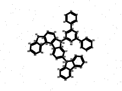 c1ccc(-c2nc(-c3ccccc3)nc(-n3c4cc(-n5c6ccccc6c6ccccc65)ccc4c4c5c(ccc43)sc3ccccc35)n2)cc1